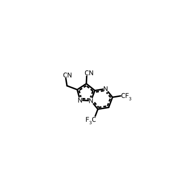 N#CCc1nn2c(C(F)(F)F)cc(C(F)(F)F)nc2c1C#N